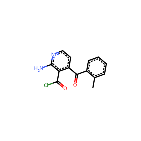 Cc1ccccc1C(=O)c1ccnc(N)c1C(=O)Cl